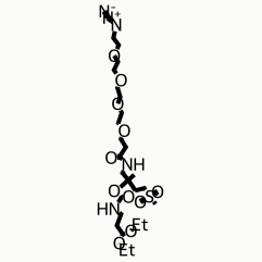 CCOC(CCNC(=O)OC(CS(C)(=O)=O)C(C)(C)CNC(=O)CCOCCOCCOCCOCCN=[N+]=[N-])OCC